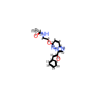 CCCCC(=O)NCCOc1ccc2ncc(-c3cc4ccccc4o3)n2n1